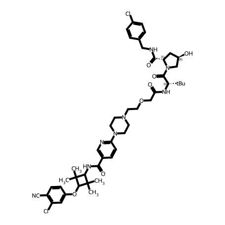 CC1(C)C(NC(=O)c2ccc(N3CCN(CCOCC(=O)N[C@H](C(=O)N4C[C@H](O)C[C@H]4C(=O)NCc4ccc(Cl)cc4)C(C)(C)C)CC3)nc2)C(C)(C)C1Oc1ccc(C#N)c(Cl)c1